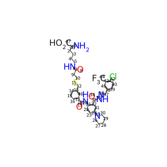 N[C@@H](CCCCNC(=O)CCSCc1cccc(C(=O)Nc2ccc(N3CCCCC3)cc2C(=O)NN=Cc2ccc(Cl)c(C(F)(F)F)c2)c1)C(=O)O